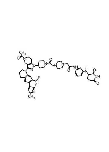 CC(=O)N1CCc2c(c(N3CCCc4cc(-c5cnn(C)c5)c(C(F)F)cc43)nn2C2CCN(C(=O)CN3CCN(CC(=O)Nc4cccc(NC5CCC(=O)NC5=O)c4)CC3)CC2)C1